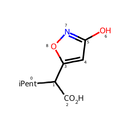 CCCC(C)C(C(=O)O)c1cc(O)no1